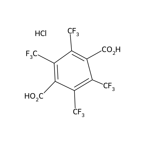 Cl.O=C(O)c1c(C(F)(F)F)c(C(F)(F)F)c(C(=O)O)c(C(F)(F)F)c1C(F)(F)F